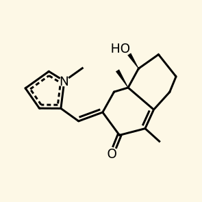 CC1=C2CCC[C@H](O)[C@@]2(C)C/C(=C\c2cccn2C)C1=O